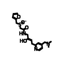 CN(C)Cc1ccnc(CC=C(O)CNC(=O)C[S+]([O-])Cc2ccco2)c1